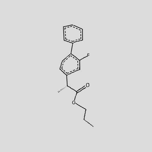 CCCOC(=O)[C@H](C)c1ccc(-c2ccccc2)c(F)c1